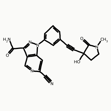 CN1CCC(O)(C#Cc2cccc(-n3nc(C(N)=O)c4cnc(C#N)cc43)c2)C1=O